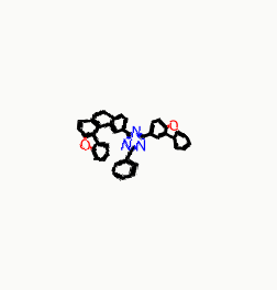 c1ccc(-c2nc(-c3ccc4oc5ccccc5c4c3)nc(-c3ccc4ccc5ccc6oc7ccccc7c6c5c4c3)n2)cc1